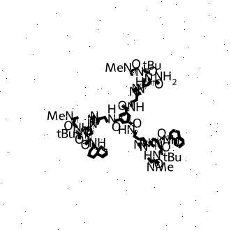 CN[C@@H](C)C(=O)N[C@H](C(=O)N1C[C@@H](n2cc(CCNC(=O)c3cc(C(=O)NCCc4cn([C@H]5C[C@@H](C(=O)NC6CCCC7C=CC=CC76)N(C(=O)[C@@H](NC(=O)[C@H](C)NC)C(C)(C)C)C5)nn4)cc(C(=O)NCCc4cn([C@H]5C[C@@H](C(=O)N[C@@H]6CCCc7ccccc76)N(C(=O)[C@@H](NC(=O)[C@H](C)NC)C(C)(C)C)C5)nn4)c3)nn2)C[C@H]1C(N)=O)C(C)(C)C